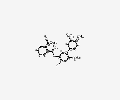 COc1cc(F)c(Cc2n[nH]c(=O)c3ccccc23)cc1-c1ccc(N)c([N+](=O)[O-])c1